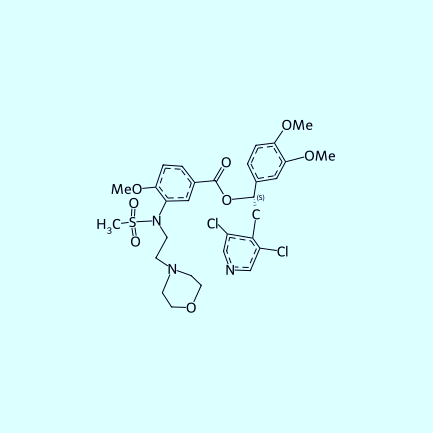 COc1ccc([C@H](Cc2c(Cl)cncc2Cl)OC(=O)c2ccc(OC)c(N(CCN3CCOCC3)S(C)(=O)=O)c2)cc1OC